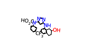 O=C(O)N(c1cccc(C(F)(F)F)c1)c1cc(Nc2cccc3c2CC(O)CC3)ncn1